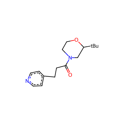 CC(C)(C)C1CN(C(=O)CCc2ccncc2)CCO1